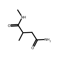 CNC(=O)C(C)CC(N)=O